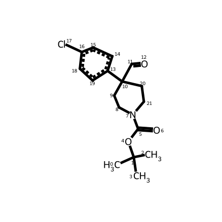 CC(C)(C)OC(=O)N1CCC(C=O)(c2ccc(Cl)cc2)CC1